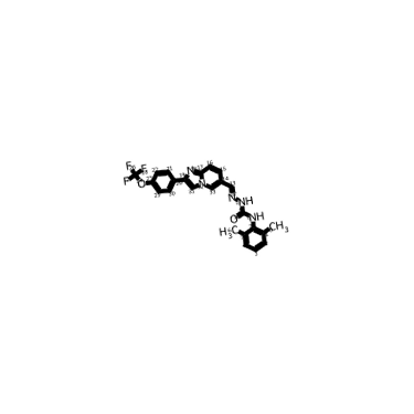 Cc1cccc(C)c1NC(=O)NN=Cc1ccc2nc(-c3ccc(OC(F)(F)F)cc3)cn2c1